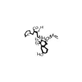 CCC1(CC)c2cc(O)ccc2C[C@H](OC)[C@H]1NCCC(CC1CCCCC1)C(=O)O